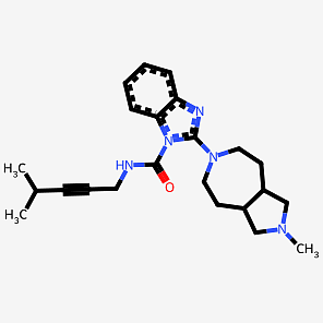 CC(C)C#CCNC(=O)n1c(N2CCC3CN(C)CC3CC2)nc2ccccc21